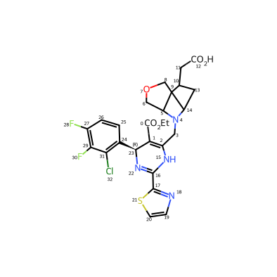 CCOC(=O)C1=C(CN2C3COCC34C(CC(=O)O)CC24)NC(c2nccs2)=N[C@H]1c1ccc(F)c(F)c1Cl